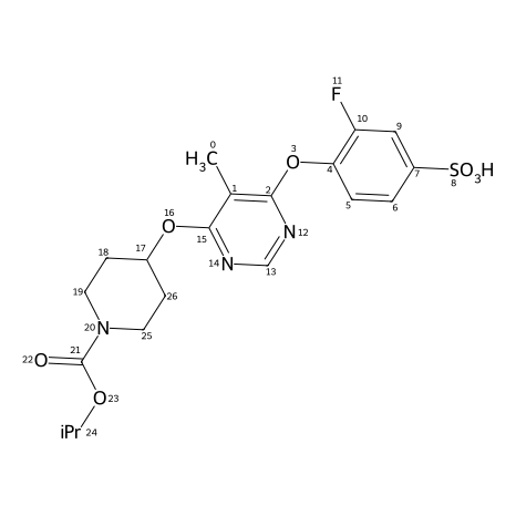 Cc1c(Oc2ccc(S(=O)(=O)O)cc2F)ncnc1OC1CCN(C(=O)OC(C)C)CC1